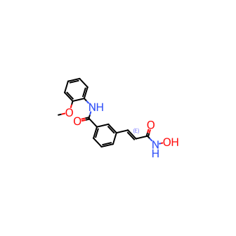 COc1ccccc1NC(=O)c1cccc(/C=C/C(=O)NO)c1